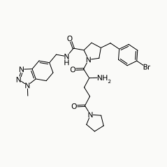 Cn1nnc2c1CCC(CNC(=O)C1CC(Cc3ccc(Br)cc3)CN1C(=O)C(N)CCC(=O)N1CCCC1)=C2